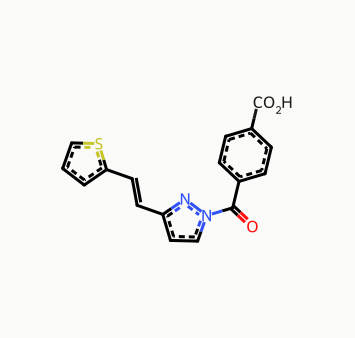 O=C(O)c1ccc(C(=O)n2ccc(C=Cc3cccs3)n2)cc1